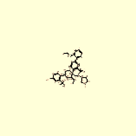 CCOc1ncccc1-c1ccc2c(n1)C(=O)N([C@H]1CCNC1)CC21CCN(c2ccc(F)cc2C(F)(F)F)CC1CC